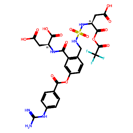 N=C(N)Nc1ccc(C(=O)Oc2ccc(CNS(=O)(=O)N[C@@H](CC(=O)O)C(=O)OC(=O)C(F)(F)F)c(C(=O)N[C@@H](CC(=O)O)C(=O)O)c2)cc1